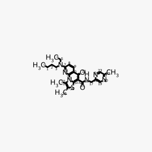 CCCCN(CC)c1ccc2c(=O)c(C(=O)NCc3cnc(C)cn3)c3sc(C)c(C)n3c2n1